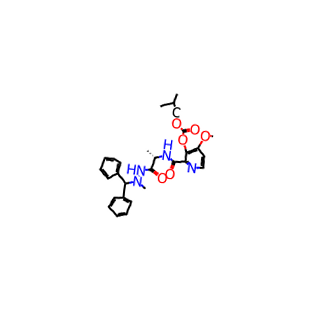 COc1ccnc(C(=O)N[C@@H](C)C(=O)NN(C)C(c2ccccc2)c2ccccc2)c1OC(=O)OCC(C)C